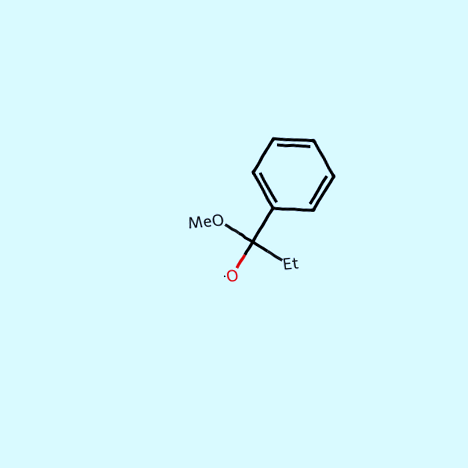 CCC([O])(OC)c1ccccc1